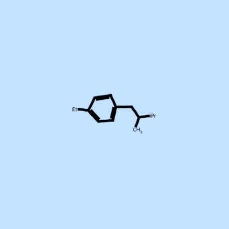 CCc1ccc(CC(C)C(C)C)cc1